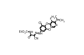 CCOC(=O)NC(=O)/C(C#N)=N/Nc1cc(Cl)c(Oc2ncnc(N(C)C)c2F)c(Cl)c1